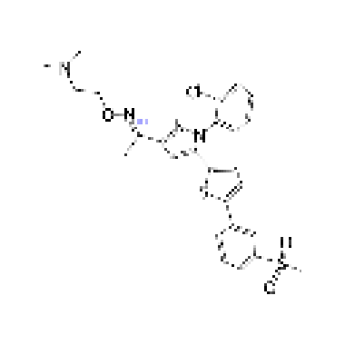 C/C(=N\OCCN(C)C)c1cc(-c2ccc(-c3cccc(S(C)(=O)=O)c3)s2)n(-c2ccccc2Cl)n1